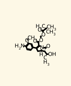 COc1cc(C2=C(C(=O)OCOC(=O)C(C)(C)C)N3C(=O)[C@H]([C@@H](C)O)[C@H]3C2)ccc1N